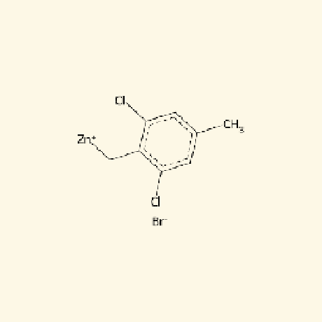 Cc1cc(Cl)c([CH2][Zn+])c(Cl)c1.[Br-]